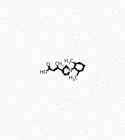 CC(=CC(=O)O)c1ccn(-c2c(C)cccc2C)c1